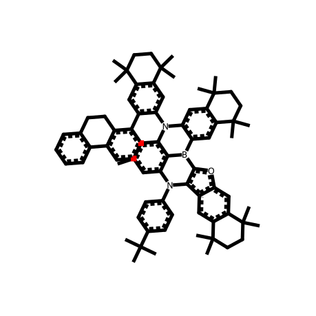 Cc1cc2c3c(c1)N(c1ccc(C(C)(C)C)cc1)c1c(oc4cc5c(cc14)C(C)(C)CCC5(C)C)B3c1cc3c(cc1N2c1cc2c(cc1-c1cccc4c1CCc1ccccc1-4)C(C)(C)CCC2(C)C)C(C)(C)CCC3(C)C